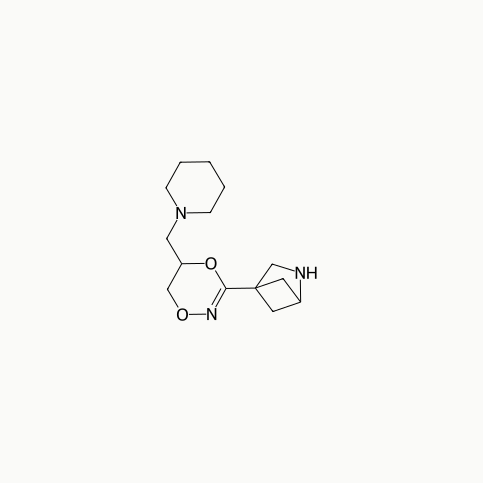 C1CCN(CC2CON=C(C34CNC(C3)C4)O2)CC1